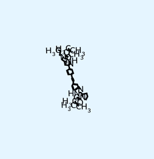 CCCN(Cc1cc(-c2ccc(C#Cc3ccc4[nH]c(C5CCCN5C(=O)OC(C)(C)C)nc4c3)cc2)n[nH]1)C(=O)OC(C)(C)C